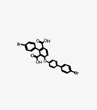 O=C(O)c1ccc(Oc2ccc(-c3ccc(Br)cc3)cc2)c(C(=O)O)c1-c1ccc(Br)cc1